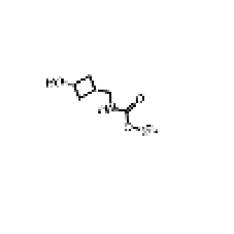 CC(C)(C)OC(=O)NC[C@H]1C[C@H](O)C1